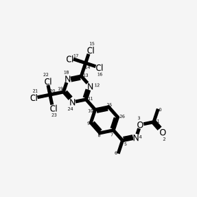 CC(=O)O/N=C(/C)c1ccc(-c2nc(C(Cl)(Cl)Cl)nc(C(Cl)(Cl)Cl)n2)cc1